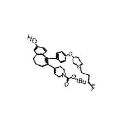 CC(C)(C)OC(=O)N1CC=C(C2=C(c3ccc(OC4CCN(CCCF)C4)cc3)c3ccc(O)cc3CCC2)CC1